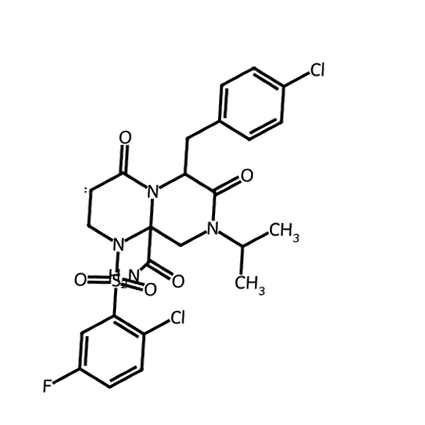 CC(C)N1CC2(C(N)=O)N(C(=O)[C]CN2S(=O)(=O)c2cc(F)ccc2Cl)C(Cc2ccc(Cl)cc2)C1=O